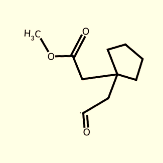 COC(=O)CC1(C[C]=O)CCCC1